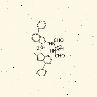 CC1=Cc2c(-c3ccccc3)cccc2[CH]1[Zr+2][CH]1C(C)=Cc2c(-c3ccccc3)cccc21.O=C[NH][GaH][NH]C=O.[Cl-].[Cl-]